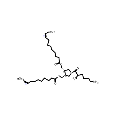 CCCCCCCC/C=C\CCCCCCCC(=O)OC[C@@H]1CN(C(=O)C(N)CCCCN)C[C@H]1COC(=O)CCCCCCC/C=C\CCCCCCCC